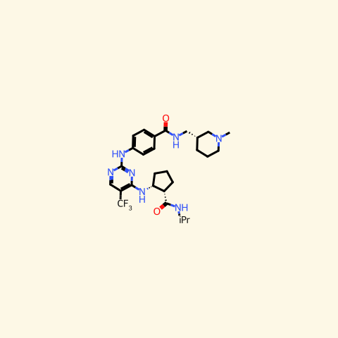 CC(C)NC(=O)[C@H]1CCC[C@H]1Nc1nc(Nc2ccc(C(=O)NC[C@H]3CCCN(C)C3)cc2)ncc1C(F)(F)F